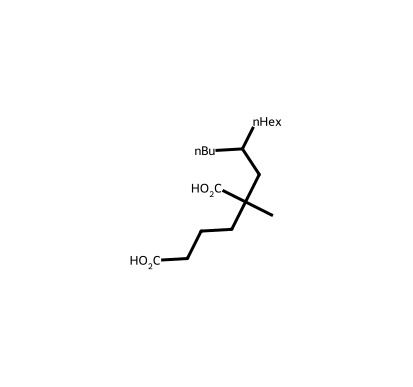 CCCCCCC(CCCC)CC(C)(CCCC(=O)O)C(=O)O